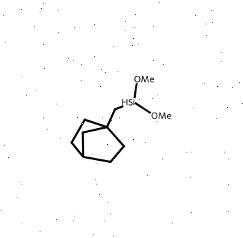 CO[SiH](CC12CCC(CC1)C2)OC